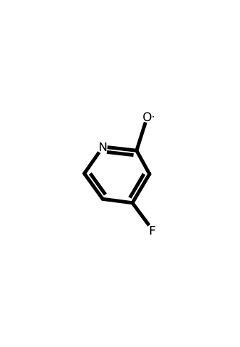 [O]c1cc(F)ccn1